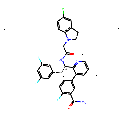 NC(=O)c1cc(-c2cccnc2[C@H](Cc2cc(F)cc(F)c2)NC(=O)CN2CCc3cc(Cl)ccc32)ccc1F